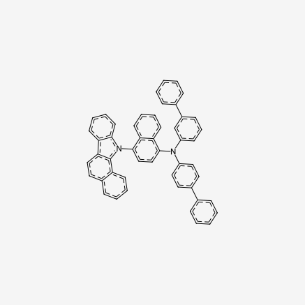 c1ccc(-c2ccc(N(c3cccc(-c4ccccc4)c3)c3ccc(-n4c5ccccc5c5ccc6ccccc6c54)c4ccccc34)cc2)cc1